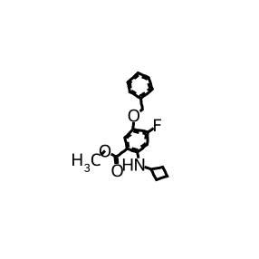 COC(=O)c1cc(OCc2ccccc2)c(F)cc1NC1CCC1